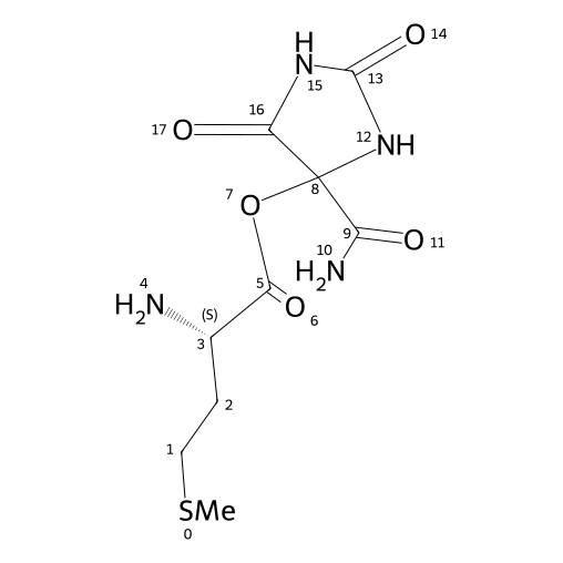 CSCC[C@H](N)C(=O)OC1(C(N)=O)NC(=O)NC1=O